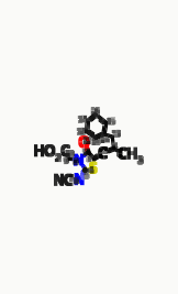 CC(=C=C1SC(=NC#N)N(CC(=O)O)C1=O)Cc1ccccc1